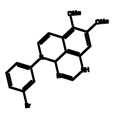 COc1cc2c3c(c1OC)C=CN(c1cccc(Br)c1)C3N=CN2